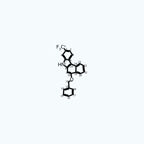 FC(F)(F)c1ccc2c(c1)[nH]c1cc(OCc3ccccc3)c3ccccc3c12